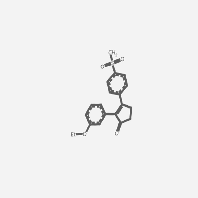 CCOc1cccc(C2=C(c3ccc(S(C)(=O)=O)cc3)CCC2=O)c1